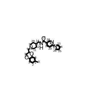 Cc1ccc2c(c1)OC(CN1CCC(CNC(=O)c3ccc(-n4cccc4)nc3)CC1)CO2